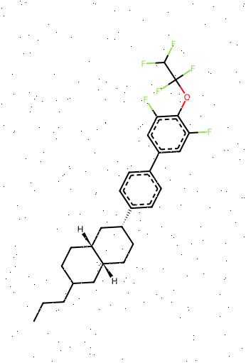 CCCC1CC[C@@H]2C[C@H](c3ccc(-c4cc(F)c(OC(F)(F)C(F)F)c(F)c4)cc3)CC[C@@H]2C1